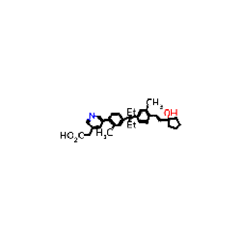 CCC(CC)(c1ccc(/C=C/C2(O)CCCC2)c(C)c1)c1ccc(-c2cncc(CC(=O)O)c2)c(C)c1